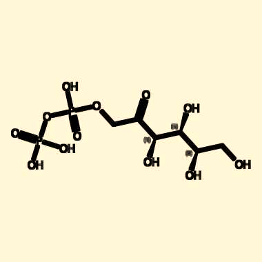 O=C(COP(=O)(O)OP(=O)(O)O)[C@H](O)[C@@H](O)[C@H](O)CO